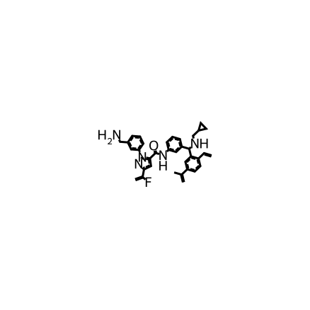 C=Cc1ccc(C(=C)C)cc1C(NCC1CC1)c1cccc(NC(=O)c2cc(C(=C)F)nn2-c2cccc(CN)c2)c1